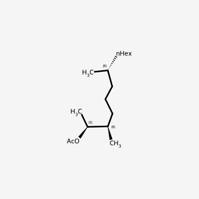 CCCCCC[C@@H](C)CCC[C@@H](C)[C@H](C)OC(C)=O